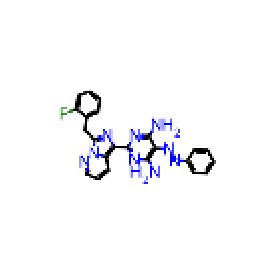 Nc1nc(-c2nc(Cc3ccccc3F)n3ncccc23)nc(N)c1N=Nc1ccccc1